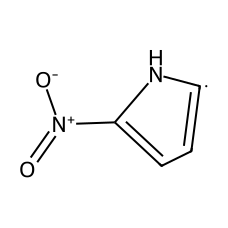 O=[N+]([O-])c1cc[c][nH]1